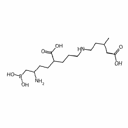 CC(CCNCCCC(CCC(N)CB(O)O)C(=O)O)CC(=O)O